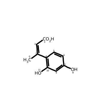 C/C(=C/C(=O)O)c1ccc(O)cc1O